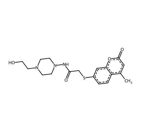 Cc1cc(=O)oc2cc(SCC(=O)NN3CCN(CCO)CC3)ccc12